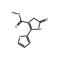 COC(=O)C1=C(c2cccs2)NC(=O)C1